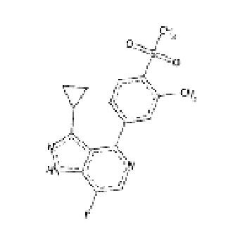 Cc1cc(-c2ncc(F)c3[nH]nc(C4CC4)c23)ccc1S(C)(=O)=O